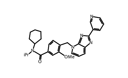 COc1cc(C(=O)N(C(C)C)C2CCCCC2)ccc1Cn1cccc2nc(-c3cccnc3)nc1-2